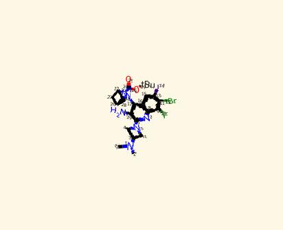 CN(C)C1CN(c2nc3c(F)c(Br)c(I)cc3c(NC3C4CC3N(C(=O)OC(C)(C)C)C4)c2N)C1